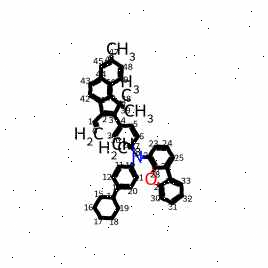 C=CC1=C(C(/C=C\C(=C)N(c2ccc(C3CCCCC3)cc2)c2cccc3c2oc2ccccc23)=C/C)C(C)(C)c2c1ccc1cc(C)ccc21